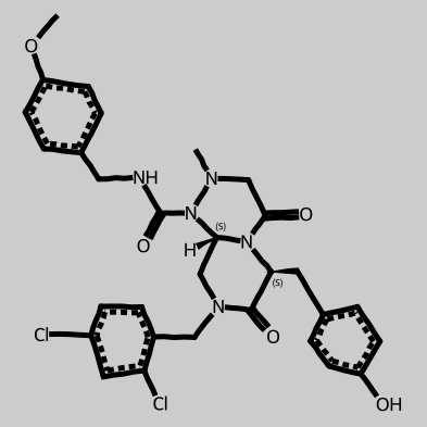 COc1ccc(CNC(=O)N2[C@H]3CN(Cc4ccc(Cl)cc4Cl)C(=O)[C@H](Cc4ccc(O)cc4)N3C(=O)CN2C)cc1